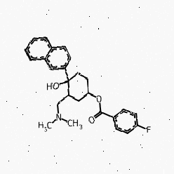 CN(C)CC1CC(OC(=O)c2ccc(F)cc2)CCC1(O)c1ccc2ccccc2c1